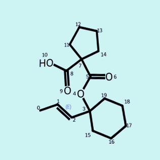 C/C=C/C1(OC(=O)C2(C(=O)O)CCCC2)CCCCC1